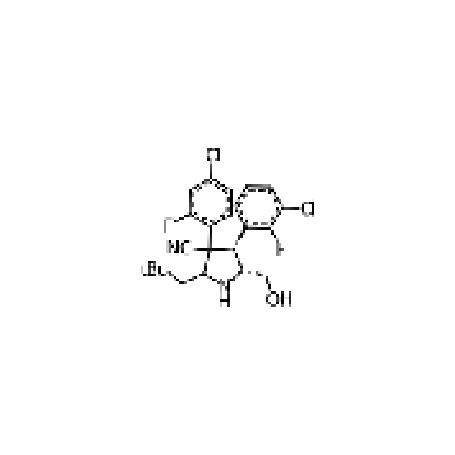 CC(C)(C)CC1N[C@@H](CO)[C@H](c2cccc(Cl)c2F)C1(C#N)c1ccc(Cl)cc1F